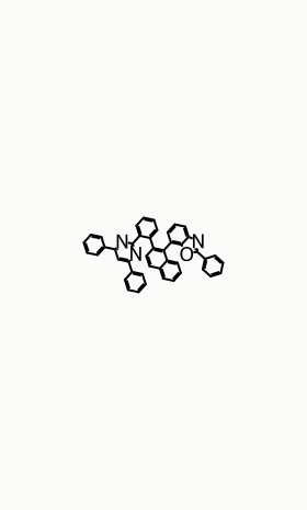 c1ccc(-c2cc(-c3ccccc3)nc(-c3ccccc3-c3ccc4ccccc4c3-c3cccc4nc(-c5ccccc5)oc34)n2)cc1